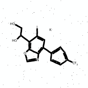 OCC(O)c1c(I)cc(-c2ccc(C(F)(F)F)cc2)c2ncoc12.[K]